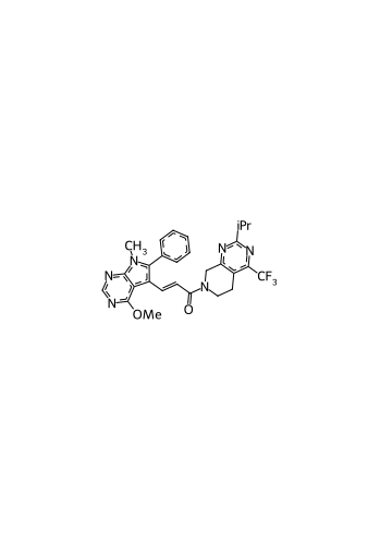 COc1ncnc2c1c(/C=C/C(=O)N1CCc3c(nc(C(C)C)nc3C(F)(F)F)C1)c(-c1ccccc1)n2C